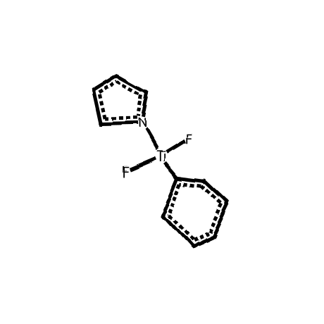 [F][Ti]([F])([c]1ccccc1)[n]1cccc1